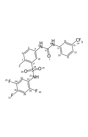 Cc1ccc(NC(=O)Nc2cccc(C(F)(F)F)c2)cc1S(=O)(=O)Nc1cc(F)c(F)cc1F